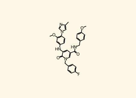 COc1ccc(CNC(=O)c2cc(Nc3ccc(-n4cnc(C)c4)c(OC)c3)c(=O)n(Cc3ccc(F)cc3)c2)cc1